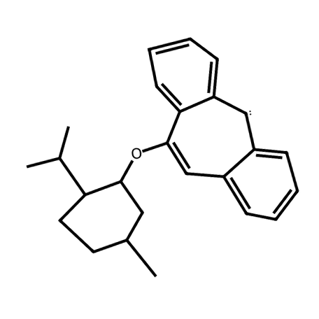 CC1CCC(C(C)C)C(OC2=Cc3ccccc3[C]c3ccccc32)C1